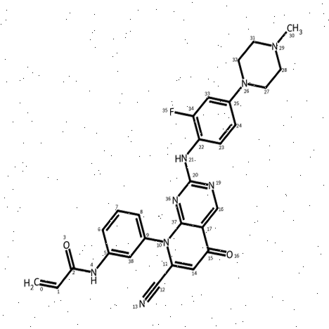 C=CC(=O)Nc1cccc(-n2c(C#N)cc(=O)c3cnc(Nc4ccc(N5CCN(C)CC5)cc4F)nc32)c1